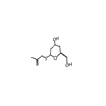 C=C(C)CSC1CC(O)CC(CO)O1